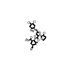 CNC(=O)c1cc(C#N)cc(C)c1NC(=O)c1cc(Cn2nnc3cc(Cl)c(Cl)cc32)nn1-c1ncccc1Cl